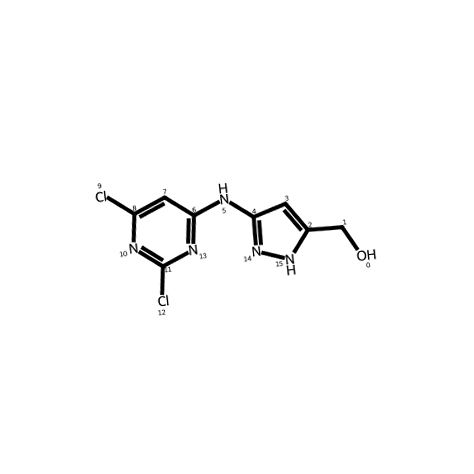 OCc1cc(Nc2cc(Cl)nc(Cl)n2)n[nH]1